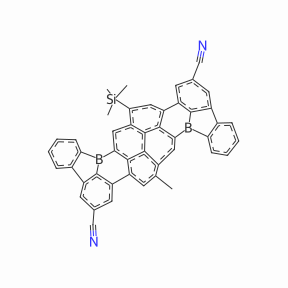 Cc1cc2c3c(cc4c([Si](C)(C)C)cc5c6c(cc1c3c46)B1c3ccccc3-c3cc(C#N)cc-5c31)B1c3ccccc3-c3cc(C#N)cc-2c31